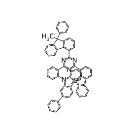 CC1(c2ccccc2)c2ccccc2-c2c(-c3nc(-c4ccccc4-n4c5ccccc5c5ccc(-c6ccccc6)cc54)nc(-c4cccc5c4sc4ccccc45)n3)cccc21